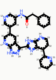 O=C(Cc1ccccc1)Nc1cncc(-c2cnc3[nH]nc(-c4nc5c(-c6ccccn6)ccnc5[nH]4)c3c2)c1